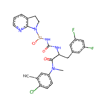 CN(C(=O)C(Cc1cc(F)cc(F)c1)NC(=O)N[S+]([O-])N1CCc2cccnc21)c1ccc(Cl)c(C#N)c1